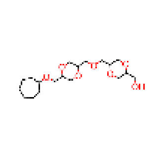 OCC1COC(COCC2COC(COC3CCCCCC3)CO2)CO1